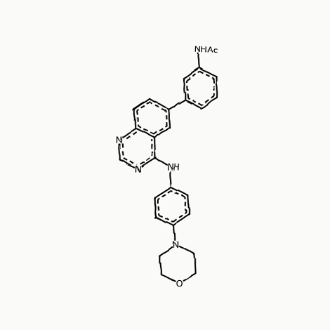 CC(=O)Nc1cccc(-c2ccc3ncnc(Nc4ccc(N5CCOCC5)cc4)c3c2)c1